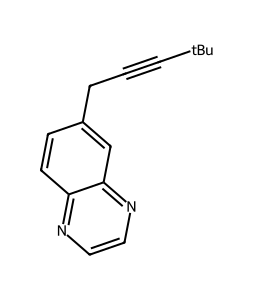 CC(C)(C)C#CCc1ccc2nccnc2c1